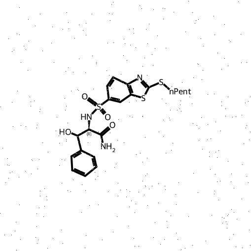 CCCCCSc1nc2ccc(S(=O)(=O)N[C@@H](C(N)=O)C(O)c3ccccc3)cc2s1